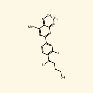 CCN(CCCO)c1ccc(C2=CC(=N/C)/C(=N\C)C(NC)=N2)cc1F